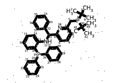 CC(C)(C)P(Cc1cccc(C(Nc2ccccc2P(c2ccccc2)c2ccccc2)c2ccccc2)n1)C(C)(C)C